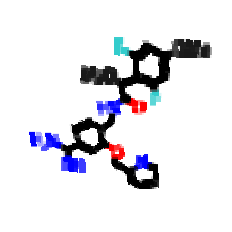 COc1cc(F)c([C@H](OC)C(=O)NCc2ccc(C(=N)N)cc2OCc2ccccn2)c(F)c1